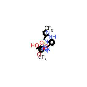 CC(C)(O)Cn1nnc(-c2cccc3c2N(S(=O)(=O)c2ccc(OC(F)(F)F)cc2)Cc2ccc(C(F)(F)F)nc2N3)n1